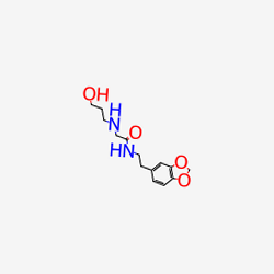 O=C(CNCCCO)NCCc1ccc2c(c1)OCO2